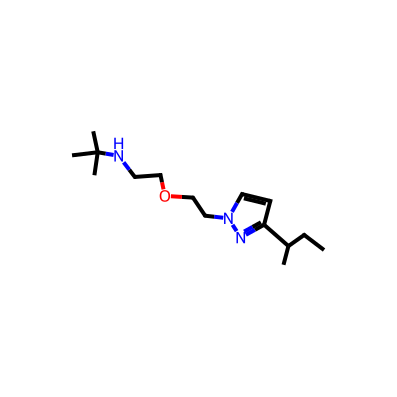 CCC(C)c1ccn(CCOCCNC(C)(C)C)n1